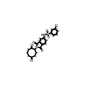 O=C1CCCC(=O)C(N2C(=O)c3ccc(NS(=O)(=O)c4cccc(Cl)c4)cc3C2=O)CC1